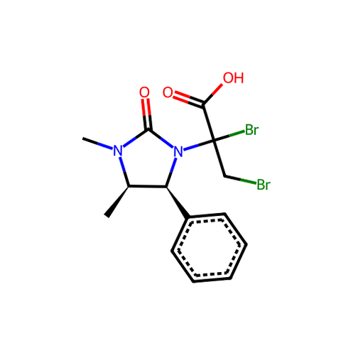 C[C@@H]1[C@H](c2ccccc2)N(C(Br)(CBr)C(=O)O)C(=O)N1C